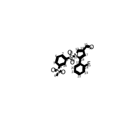 CS(=O)(=O)c1cccc(S(=O)(=O)n2cc(C=O)cc2-c2ccccc2F)c1